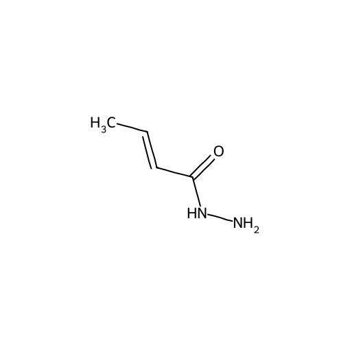 C/C=C/C(=O)NN